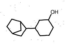 OC1CCCC(C2CC3CCC2C3)C1